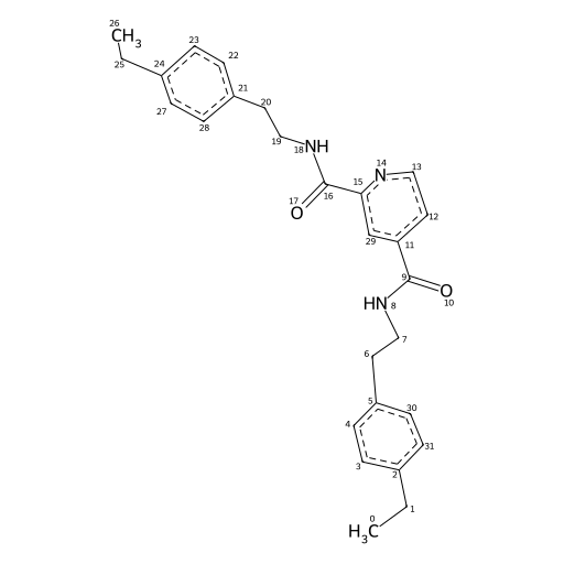 CCc1ccc(CCNC(=O)c2ccnc(C(=O)NCCc3ccc(CC)cc3)c2)cc1